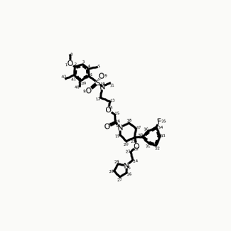 COc1cc(C)c(S(=O)(=O)N(C)CCOCC(=O)N2CCC(OCCN3CCCC3)(c3cccc(F)c3)CC2)c(C)c1C